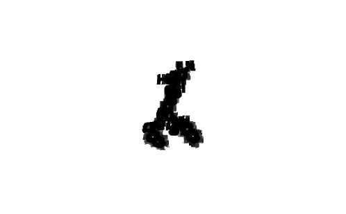 N#Cc1ccc(OP(=O)(O)CNS(=O)(=O)c2cc3cc(OCCNC(=O)c4ccc5ccccc5c4)c(OCCNC(=O)c4ccc5ccccc5c4)cc3s2)cc1F